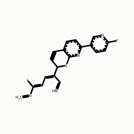 C=N/C(I)=C/C=C(\C=N)C1C#Cc2ccc(-c3ccc(F)nc3)nc2S1